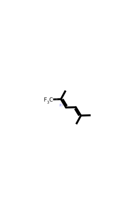 CC(C)=C/C=C(\C)C(F)(F)F